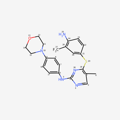 Cc1cnc(Nc2ccc(N3CCOCC3)cc2)nc1Sc1ccc(N)c(C(F)(F)F)c1